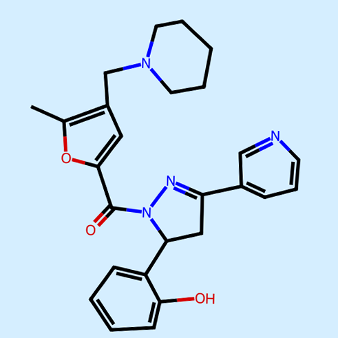 Cc1oc(C(=O)N2N=C(c3cccnc3)CC2c2ccccc2O)cc1CN1CCCCC1